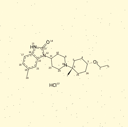 CCO[C@H]1CC[C@@](C)(N2CCC(n3c(=O)[nH]c4ccc(C)cc43)CC2)CC1.Cl